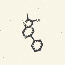 Cc1nc2cnc(-c3ccccc3)cn2c1O